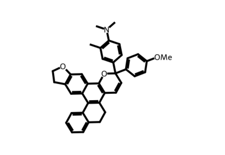 COc1ccc(C2(c3ccc(N(C)C)c(C)c3)C=Cc3c4c(c5cc6c(cc5c3O2)OCC6)-c2ccccc2CC4)cc1